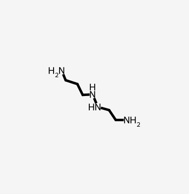 NCCCNNCCN